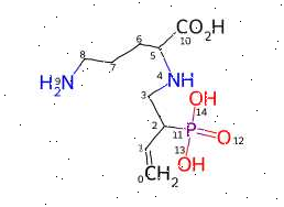 C=CC(CNC(CCCN)C(=O)O)P(=O)(O)O